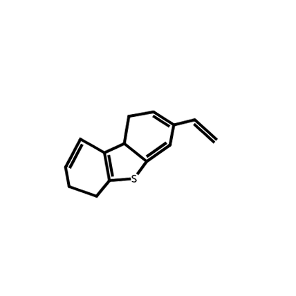 C=CC1=CCC2C(=C1)SC1=C2C=CCC1